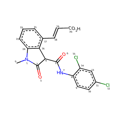 CN1C(=O)C(C(=O)Nc2ccc(Cl)cc2Cl)c2c(C=CC(=O)O)cccc21